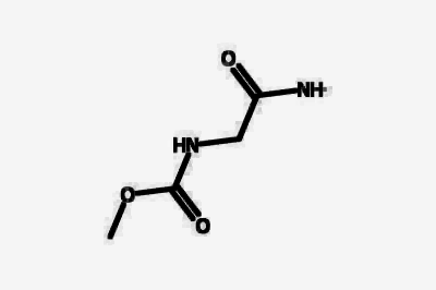 COC(=O)NCC([NH])=O